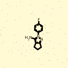 Nc1c2c(nn1-c1ccc(F)cc1)CCC2